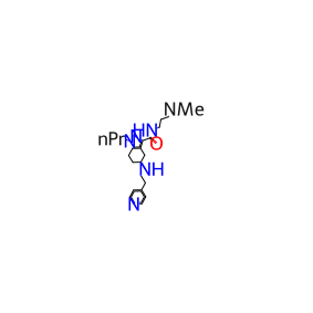 CCCn1nc(C(=O)NCCCNC)c2c1CCC(NCCc1ccncc1)C2